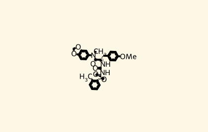 COc1ccc(C[C@H](NC(=O)NS(=O)(=O)c2ccccc2C)C(=O)N(C)c2ccc3c(c2)OCO3)cc1